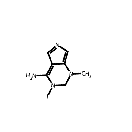 CN1CN(I)C(N)=C2C=NC=C21